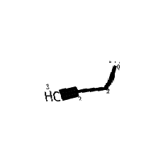 [C]CC#C